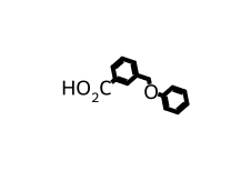 O=C(O)c1cccc(COc2ccccc2)c1